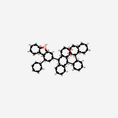 c1ccc(-c2cc(-c3c4ccccc4c(-c4ccccc4-c4cccc5ccccc45)c4ccccc34)cc3oc4ccccc4c23)cc1